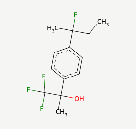 CCC(C)(F)c1ccc(C(C)(O)C(F)(F)F)cc1